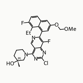 CCc1c(F)ccc2cc(OCOC)cc(-c3ncc4c(N5CCC[C@@](C)(O)C5)nc(Cl)nc4c3F)c12